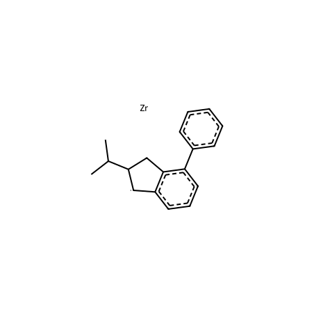 CC(C)C1[CH]c2cccc(-c3ccccc3)c2C1.[Zr]